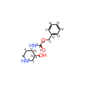 O=C(N[C@H]1CCNC[C@@H]1O)OCc1ccccc1